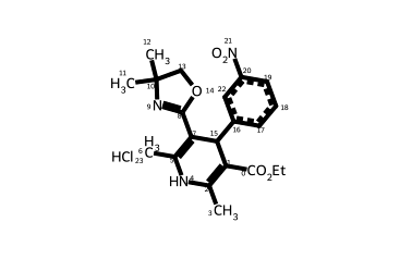 CCOC(=O)C1=C(C)NC(C)=C(C2=NC(C)(C)CO2)C1c1cccc([N+](=O)[O-])c1.Cl